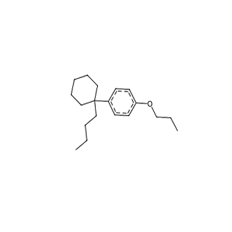 CCCCC1(c2ccc(OCCC)cc2)CCCCC1